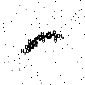 CCc1cc2ncc(CN3C[C@@H]4C(c5ccc(C(=O)NC)nc5)[C@@H]4C3)cc2[nH]c1=O